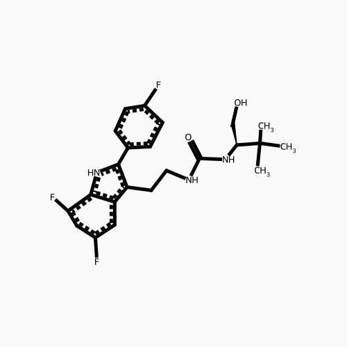 CC(C)(C)[C@H](CO)NC(=O)NCCc1c(-c2ccc(F)cc2)[nH]c2c(F)cc(F)cc12